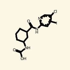 O=C(O)NC1CCCC(C(=O)Nc2cc(I)c(Cl)cn2)C1